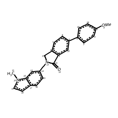 COc1ccc(-c2ccc3c(c2)C(=O)N(c2ccc4ccn(C)c4c2)C3)cc1